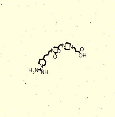 N=C(N)N1CCC(CCCN2CC(CN3CCN(CCC(=O)O)CC3)OC2=O)CC1